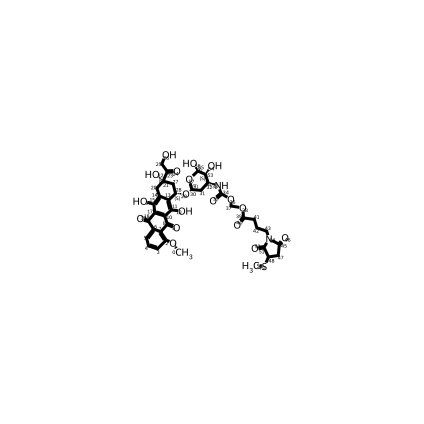 COc1cccc2c1C(=O)c1c(O)c3c(c(O)c1C2=O)C[C@@](O)(C(=O)CO)C[C@@H]3O[C@H]1C[C@H](NC(=O)OCOC(=O)CCCN2C(=O)CC(SC)C2=O)[C@H](O)[C@H](O)O1